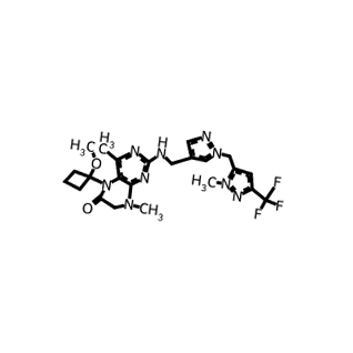 COC1(N2C(=O)CN(C)c3nc(NCc4cnn(Cc5cc(C(F)(F)F)nn5C)c4)nc(C)c32)CCC1